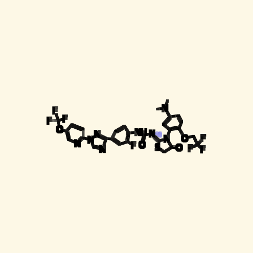 CN(C)c1ccc(OCC(F)(F)F)c(N2C(=O)CS/C2=N\C(=O)Nc2ccc(-c3ncn(-c4ccc(OC(F)(F)F)cn4)n3)cc2F)c1